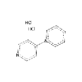 Cl.Cl.c1cc[n+](-c2ccncc2)cc1